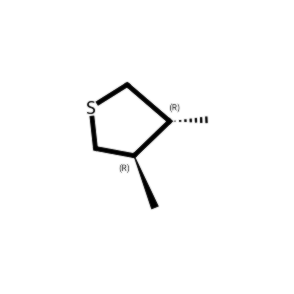 C[C@H]1CSC[C@@H]1C